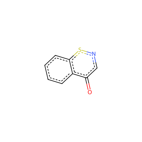 O=c1cnsc2ccccc12